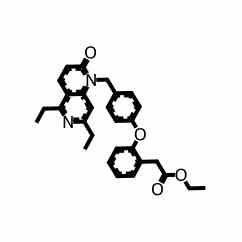 CCOC(=O)Cc1ccccc1Oc1ccc(Cn2c(=O)ccc3c(CC)nc(CC)cc32)cc1